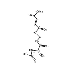 COC(=O)/C=C/C(=O)OCNC(=O)[C@H](C)NC(=O)C(C)C